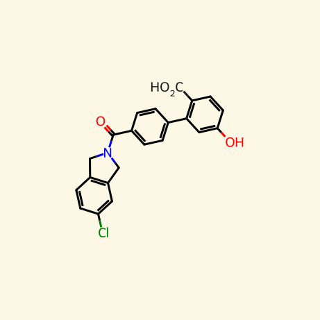 O=C(O)c1ccc(O)cc1-c1ccc(C(=O)N2Cc3ccc(Cl)cc3C2)cc1